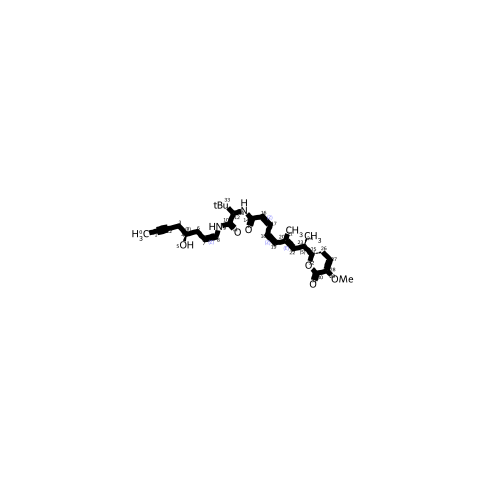 CC#CC[C@H](O)C/C=C\NC(=O)C(NC(=O)\C=C/C=C\C(C)=C\[C@H](C)[C@@H]1CC=C(OC)C(=O)O1)C(C)(C)C